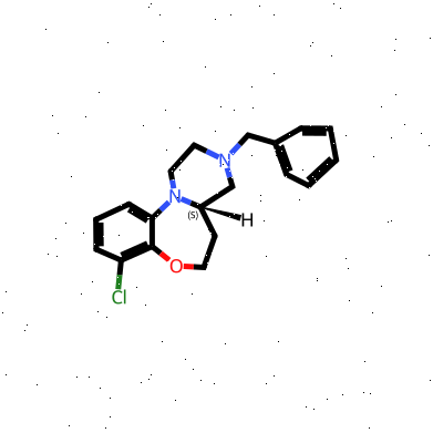 Clc1cccc2c1OCC[C@H]1CN(Cc3ccccc3)CCN21